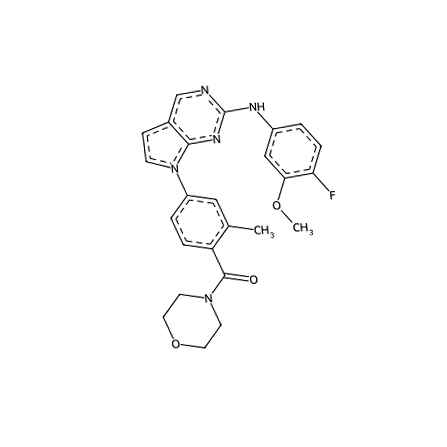 COc1cc(Nc2ncc3ccn(-c4ccc(C(=O)N5CCOCC5)c(C)c4)c3n2)ccc1F